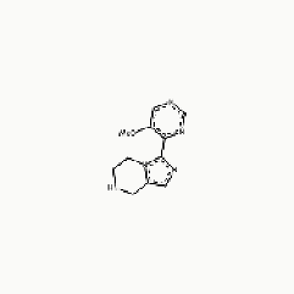 COc1cncnc1-c1ncc2n1CCNC2